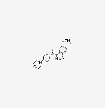 CCc1ccc2ncnc(NC3CCC(N4CCOCC4)CC3)c2c1